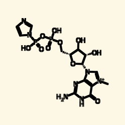 C[n+]1cn([C@@H]2O[C@H](COP(=O)(O)OP(=O)(O)n3ccnc3)C(O)[C@@H]2O)c2nc(N)[nH]c(=O)c21